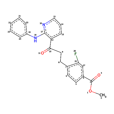 COC(=O)c1ccc(CCC(=O)c2cccnc2Nc2ccccc2)c(F)c1